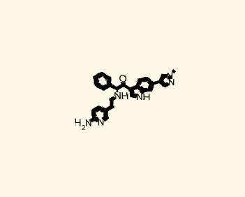 Cn1cc(-c2ccc3c(C(=O)[C@@H](NCCc4ccc(N)nc4)c4ccccc4)c[nH]c3c2)cn1